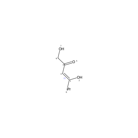 CC(C)/C(O)=C/C(=O)CO